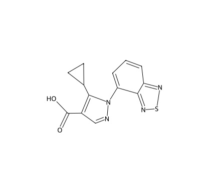 O=C(O)c1cnn(-c2cccc3nsnc23)c1C1CC1